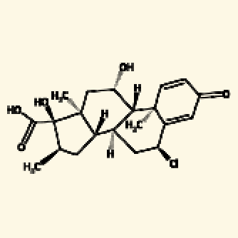 C[C@@H]1C[C@H]2[C@@H]3C[C@H](Cl)C4=CC(=O)C=C[C@]4(C)[C@H]3[C@@H](O)C[C@]2(C)[C@@]1(O)C(=O)O